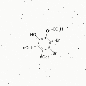 CCCCCCCCc1c(O)c(OC(=O)O)c(Br)c(Br)c1CCCCCCCC